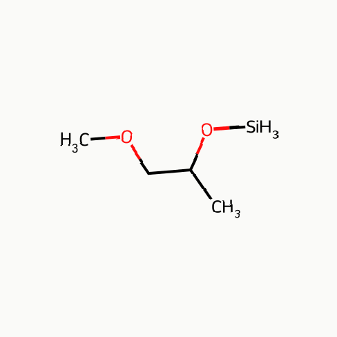 COCC(C)O[SiH3]